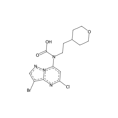 O=C(O)N(CCC1CCOCC1)c1cc(Cl)nc2c(Br)cnn12